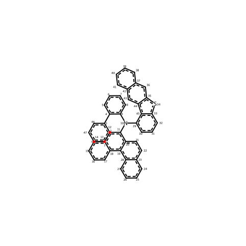 c1ccc(-c2ccccc2N(c2cc3ccccc3c3c2ccc2ccccc23)c2cccc3sc4cc5ccccc5cc4c23)cc1